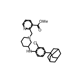 COC(=O)c1cccnc1CN1CCCC(Nc2ccc(C34CC5CC(CC(C5)C3)C4)cc2Cl)C1